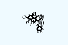 NCc1c(-c2ccc(Cl)cc2Cl)cn2cnnc2c1NCc1ccccc1